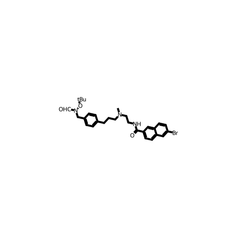 CN(CCCc1ccc(CN(C=O)OC(C)(C)C)cc1)CCNC(=O)c1ccc2cc(Br)ccc2c1